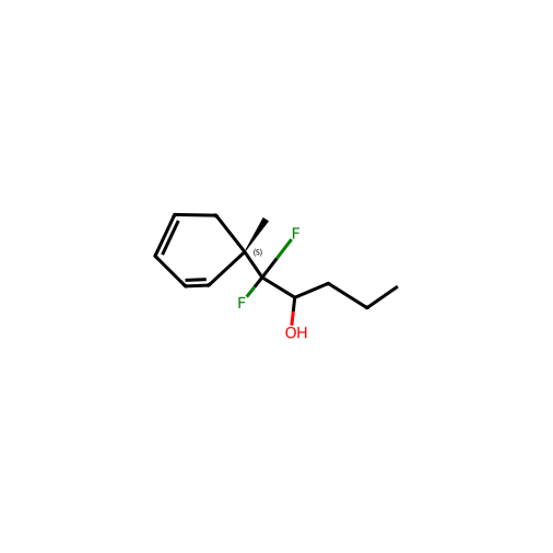 CCCC(O)C(F)(F)[C@]1(C)C=CC=CC1